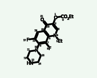 CCOC(=O)Oc1cn(CC)c2c(F)c(N3CCNCC3)c(F)cc2c1=O